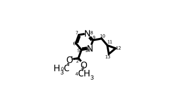 COC(OC)c1ccnc(CC2CC2)n1